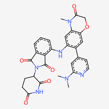 CN(C)c1cc(-c2cc3c(cc2Nc2cccc4c2C(=O)N(C2CCC(=O)NC2=O)C4=O)N(C)C(=O)CO3)ccn1